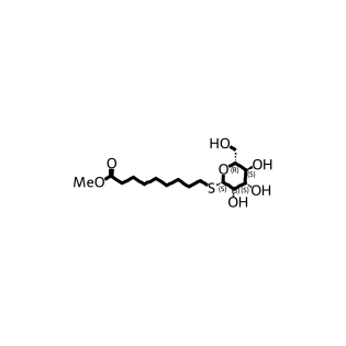 COC(=O)CCCCCCCCS[C@@H]1O[C@H](CO)[C@@H](O)[C@H](O)[C@@H]1O